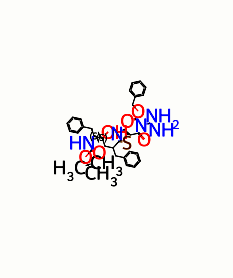 CC(C)(C)OC(=O)N[C@@H](Cc1ccccc1)[C@@H](O)CC(Cc1ccccc1)c1ncc(C(=O)N(C(=N)N)C(=O)OCc2ccccc2)s1